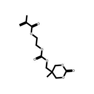 C=C(C)C(=O)OCCOC(=O)OCC1(C)COC(=O)OC1